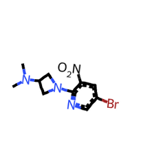 CN(C)C1CN(c2ncc(Br)cc2[N+](=O)[O-])C1